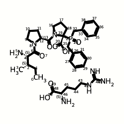 CC[C@H](C)[C@H](N)C(=O)N1CCC[C@H]1C(=O)N1CCC[C@]1(C(=O)O)P(=O)(Cc1ccccc1)Cc1ccccc1.N=C(N)NCCC[C@H](N)C(=O)O